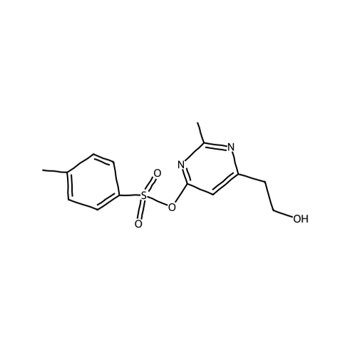 Cc1ccc(S(=O)(=O)Oc2cc(CCO)nc(C)n2)cc1